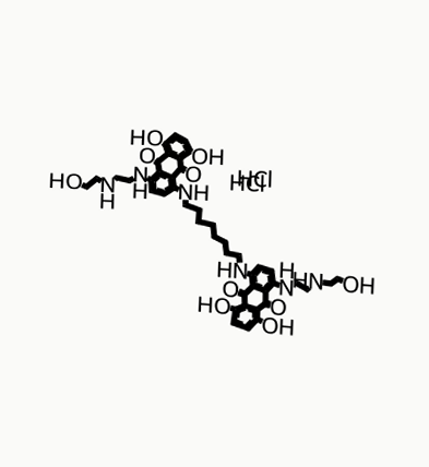 Cl.Cl.O=C1c2c(O)ccc(O)c2C(=O)c2c(NCCNCCO)ccc(NCCCCCCCCNc3ccc(NCCNCCO)c4c3C(=O)c3c(O)ccc(O)c3C4=O)c21